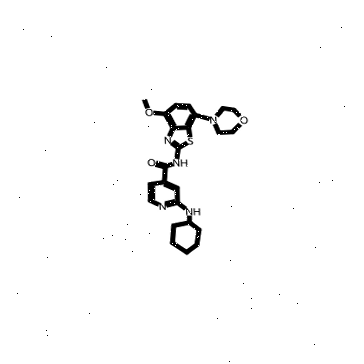 COc1ccc(N2CCOCC2)c2sc(NC(=O)c3ccnc(NC4CCCCC4)c3)nc12